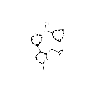 CN(c1ccncc1)c1nccc(-c2cnc(N)nc2CC2CC2)n1